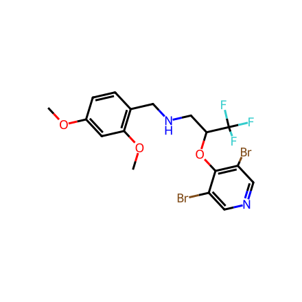 COc1ccc(CNCC(Oc2c(Br)cncc2Br)C(F)(F)F)c(OC)c1